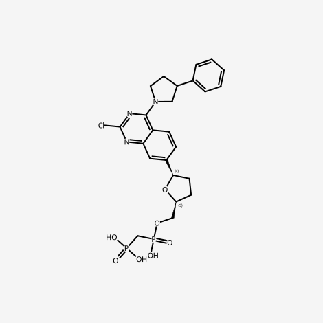 O=P(O)(O)CP(=O)(O)OC[C@@H]1CC[C@H](c2ccc3c(N4CCC(c5ccccc5)C4)nc(Cl)nc3c2)O1